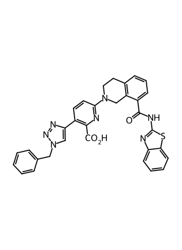 O=C(Nc1nc2ccccc2s1)c1cccc2c1CN(c1ccc(-c3cn(Cc4ccccc4)nn3)c(C(=O)O)n1)CC2